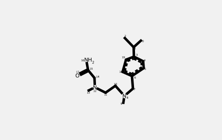 CC(C)c1ccc(CN(C)CCN(C)CC(N)=O)cc1